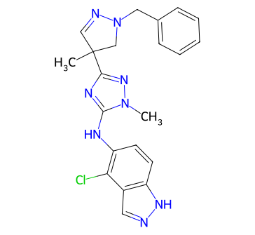 Cn1nc(C2(C)C=NN(Cc3ccccc3)C2)nc1Nc1ccc2[nH]ncc2c1Cl